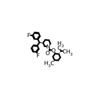 CC(C)[C@@H]1CC[C@@H](C)CC1OC(=O)N1CCC[C@H](C(c2cccc(F)c2)c2cccc(F)c2)C1